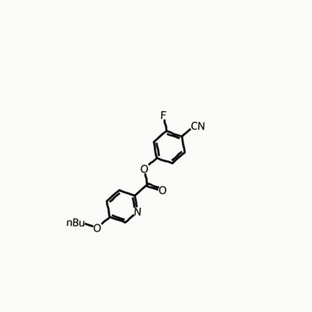 CCCCOc1ccc(C(=O)Oc2ccc(C#N)c(F)c2)nc1